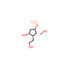 OCC[C@@H]1[C@@H](CO)[C@H](OP)C[C@@H]1O